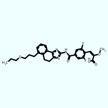 CCCOCCCc1cccc2c1CCc1sc(NC(=O)c3cc(F)c(/C=C(/OC)C(=O)O)c(F)c3)nc1-2